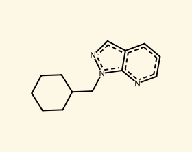 c1cnc2c(c1)cnn2CC1CCCCC1